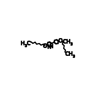 CCCCCCCCOc1ccc(-c2ccc(OC(C)CCCCCC)cc2)nn1